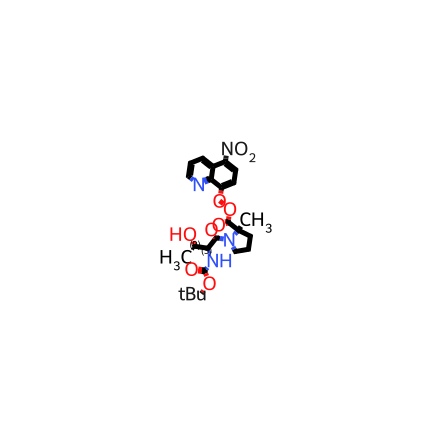 C[C@@H](O)[C@H](NC(=O)OC(C)(C)C)C(=O)N1CCCC1(C)C(=O)OOc1ccc([N+](=O)[O-])c2cccnc12